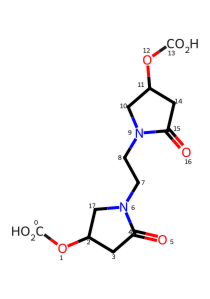 O=C(O)OC1CC(=O)N(CCN2CC(OC(=O)O)CC2=O)C1